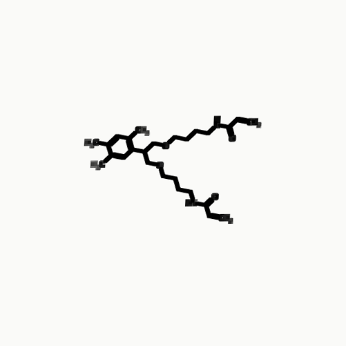 C=CC(=O)NCCCCOCC(COCCCCNC(=O)C=C)c1cc(C)c(C)cc1C